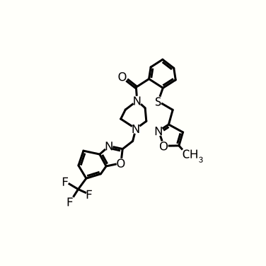 Cc1cc(CSc2ccccc2C(=O)N2CCN(Cc3nc4ccc(C(F)(F)F)cc4o3)CC2)no1